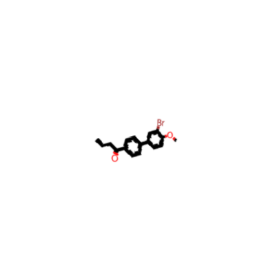 C=CCC(=O)c1ccc(-c2ccc(OC)c(Br)c2)cc1